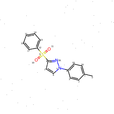 Cc1ccc(-n2ccc(S(=O)(=O)c3ccccc3)n2)cc1